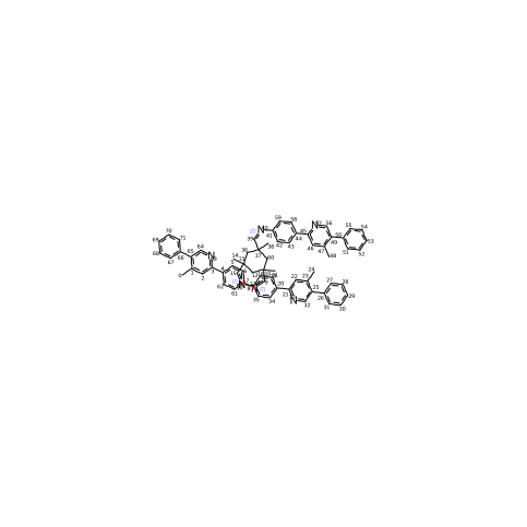 Cc1cc(-c2ccc(/N=C\C3(C)CC(C)(/C=N\c4ccc(-c5cc(C)c(-c6ccccc6)cn5)cc4)CC(C)(/C=N\c4ccc(-c5cc(C)c(-c6ccccc6)cn5)cc4)C3)cc2)ncc1-c1ccccc1